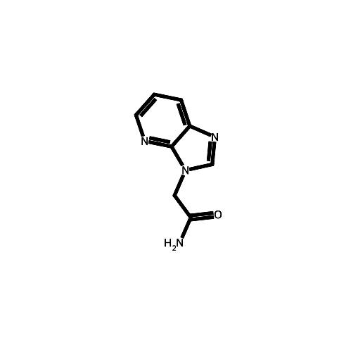 NC(=O)Cn1cnc2cccnc21